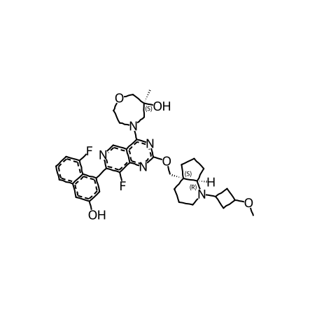 COC1CC(N2CCC[C@@]3(COc4nc(N5CCOC[C@@](C)(O)C5)c5cnc(-c6cc(O)cc7cccc(F)c67)c(F)c5n4)CCC[C@@H]23)C1